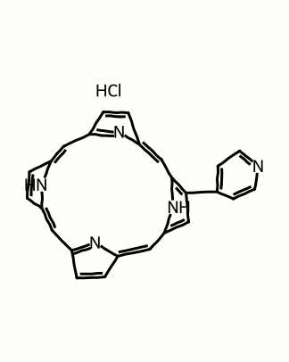 C1=Cc2cc3cc(-c4ccncc4)c(cc4nc(cc5ccc(cc1n2)[nH]5)C=C4)[nH]3.Cl